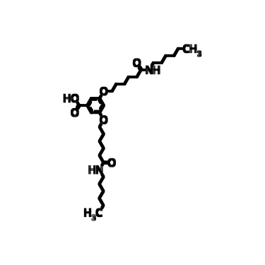 CCCCCCNC(=O)CCCCCOc1cc(OCCCCCC(=O)NCCCCCC)cc(C(=O)O)c1